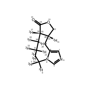 [2H]C([2H])([2H])n1cncc1C[C@@]1([2H])COC(=O)[C@@]1([2H])C([2H])([2H])C([2H])([2H])[2H]